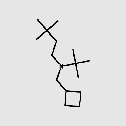 CC(C)(C)CCN(CC1CCC1)C(C)(C)C